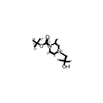 CC1CN(CC(C)(C)O)CCN1C(=O)OC(C)(C)C